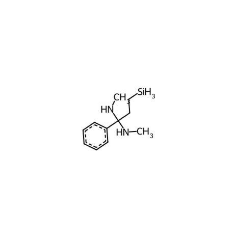 CNC(CC[SiH3])(NC)c1ccccc1